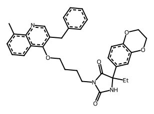 CCC1(c2ccc3c(c2)OCCO3)NC(=O)N(CCCCOc2c(Cc3ccccc3)cnc3c(C)cccc23)C1=O